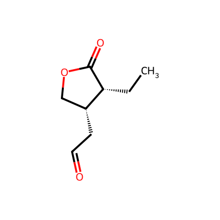 CC[C@H]1C(=O)OC[C@H]1CC=O